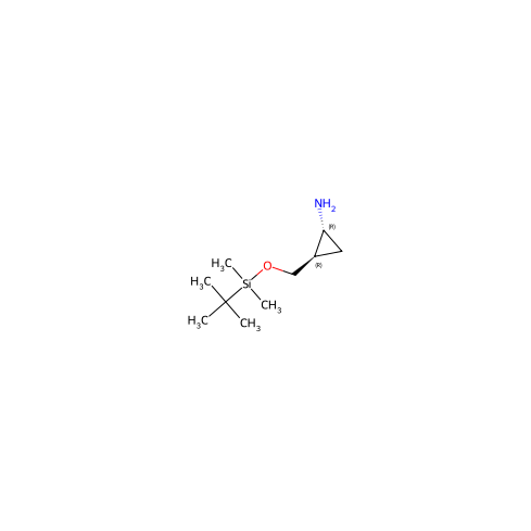 CC(C)(C)[Si](C)(C)OC[C@@H]1C[C@H]1N